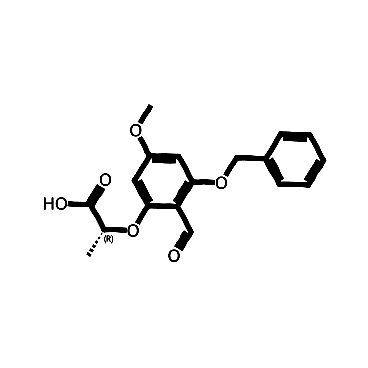 COc1cc(OCc2ccccc2)c(C=O)c(O[C@H](C)C(=O)O)c1